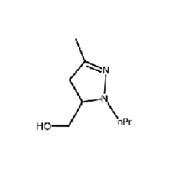 CCCN1N=C(C)CC1CO